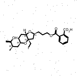 C=C(O)[C@H](C)C[C@H]1CC[C@@H]2O[C@@H](CCCOC(=O)c3ccccc3C(=O)O)C[C@]2(CI)O1